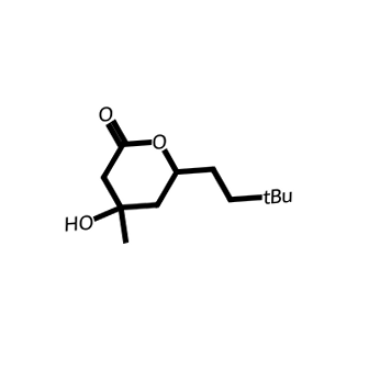 CC(C)(C)CCC1CC(C)(O)CC(=O)O1